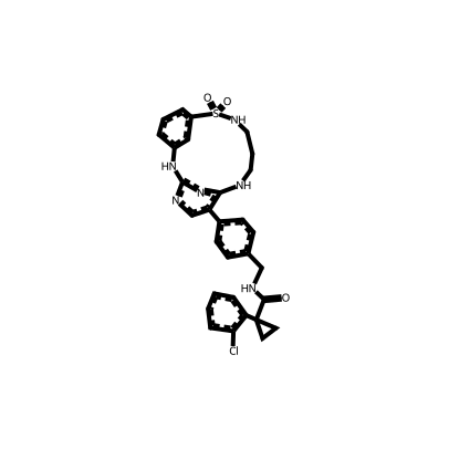 O=C(NCc1ccc(-c2cnc3nc2NCCCNS(=O)(=O)c2cccc(c2)N3)cc1)C1(c2ccccc2Cl)CC1